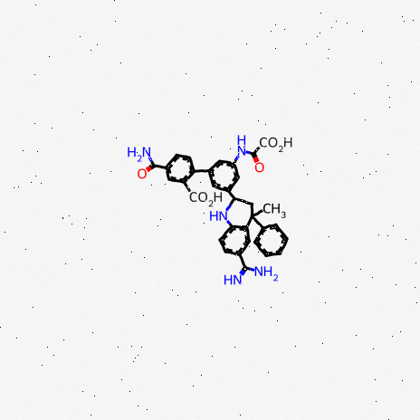 CC1(c2ccccc2)CC(c2cc(NC(=O)C(=O)O)cc(-c3ccc(C(N)=O)cc3C(=O)O)c2)Nc2ccc(C(=N)N)cc21